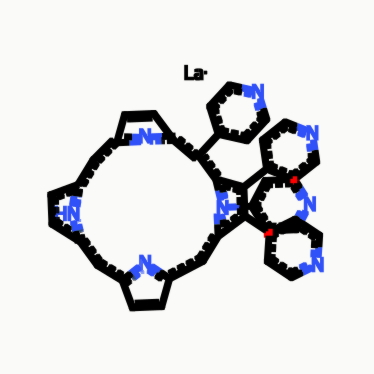 C1=Cc2cc3c(-c4ccncc4)c(-c4ccncc4)c(c(-c4ccncc4)c4nc(cc5ccc(cc1n2)[nH]5)C=C4)n3-c1ccncc1.[La]